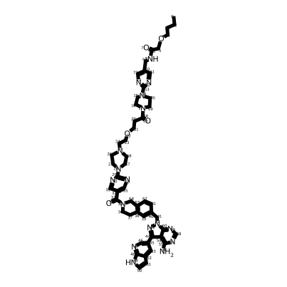 CCCCOCC(=O)NCc1cnc(N2CCN(C(=O)CCOCCN3CCN(c4ncc(C(=O)N5CCc6cc(Cn7nc(-c8cnc9[nH]ccc9c8)c8c(N)ncnc87)ccc6C5)cn4)CC3)CC2)nc1